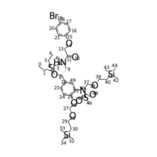 CC[Si](CC)(CC)O[C@H](CNC(=O)COc1ccc(Br)cc1)c1ccc(OCOCC[Si](C)(C)C)c(N(COCC[Si](C)(C)C)S(C)(=O)=O)c1